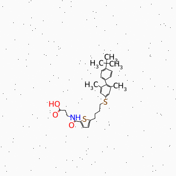 Cc1cc(SCCCCc2ccc(C(=O)NCCC(=O)O)s2)cc(C)c1-c1ccc(C(C)(C)C)cc1